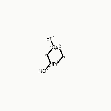 CC(=O)CC(C)C.CCOCCO